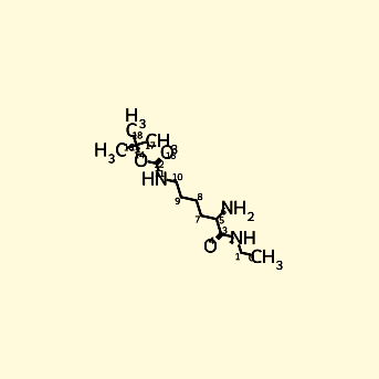 CCNC(=O)C(N)CCCCNC(=O)OC(C)(C)C